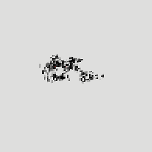 CC[C@H]1OC(=O)[C@H](C)[C@@H](OC2C[C@@](C)(OC)[C@@H](OCCOC=CCc3cc4c5c(c3)c(=O)c(C(=O)O)cn5CCC4)[C@H](C)O2)[C@H](C)[C@@H](O[C@@H]2O[C@H](C)C[C@H](N(C)C)[C@H]2O)[C@](C)(O)C[C@@H](C)CN(C)[C@H](C)[C@H](O)[C@]1(C)O